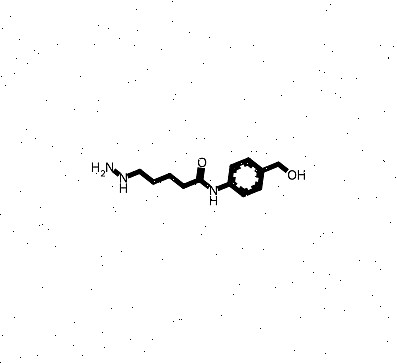 NNCCCCC(=O)Nc1ccc(CO)cc1